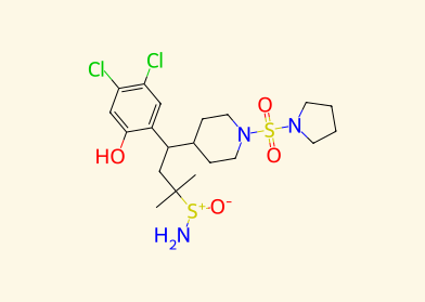 CC(C)(CC(c1cc(Cl)c(Cl)cc1O)C1CCN(S(=O)(=O)N2CCCC2)CC1)[S+](N)[O-]